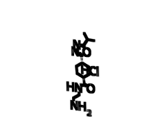 CC(C)c1nnc([C@H]2CC[C@H](C(=O)NCCN)CC2)o1.Cl